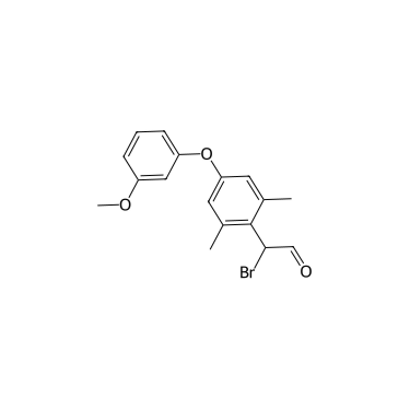 COc1cccc(Oc2cc(C)c(C(Br)C=O)c(C)c2)c1